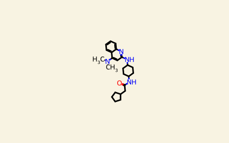 CN(C)c1cc(NC2CCC(NC(=O)CC3CCCC3)CC2)nc2ccccc12